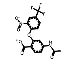 CC(=O)Nc1ccc(C(=O)O)c(Oc2ccc(C(F)(F)F)cc2[N+](=O)[O-])c1